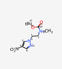 CN(CCn1cc([N+](=O)[O-])cn1)C(=O)OC(C)(C)C